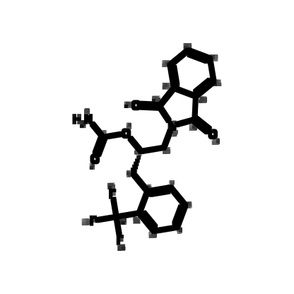 NC(=O)O[C@@H](Cc1ccccc1C(F)(F)F)CN1C(=O)c2ccccc2C1=O